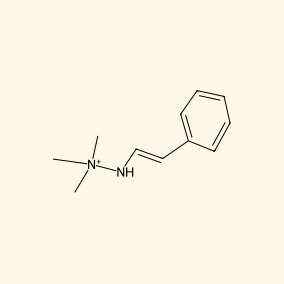 C[N+](C)(C)NC=Cc1ccccc1